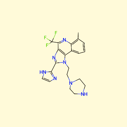 Cc1cccc2c1nc(C(F)(F)F)c1nc(-c3ncc[nH]3)n(CCN3CCNCC3)c12